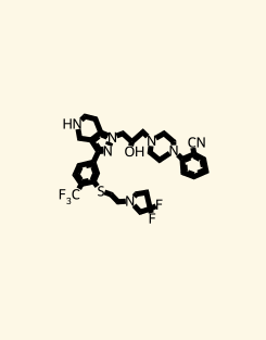 N#Cc1ccccc1N1CCN(CC(O)Cn2nc(-c3ccc(C(F)(F)F)c(SCCN4CCC(F)(F)C4)c3)c3c2CCNC3)CC1